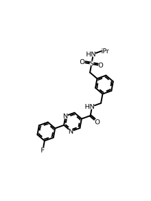 CC(C)NS(=O)(=O)Cc1cccc(CNC(=O)c2cnc(-c3cccc(F)c3)nc2)c1